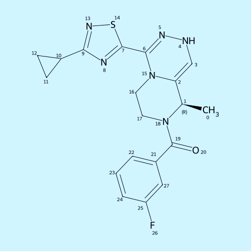 C[C@@H]1C2=CNN=C(c3nc(C4CC4)ns3)N2CCN1C(=O)c1cccc(F)c1